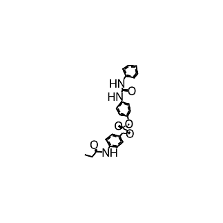 CCC(=O)Nc1ccc(S(=O)(=O)Oc2ccc(NC(=O)Nc3ccccc3)cc2)cc1